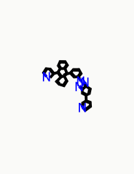 c1cncc(-c2ccc3nn(-c4cccc(-c5c6ccccc6c(-c6cccnc6)c6ccccc56)c4)nc3c2)c1